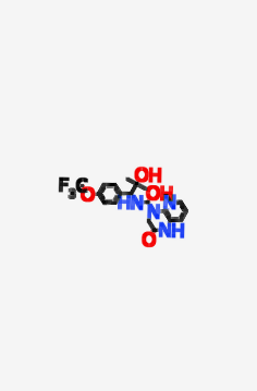 CC(C)(O)C(NC(O)N1CC(=O)Nc2cccnc21)c1ccc(OC(F)(F)F)cc1